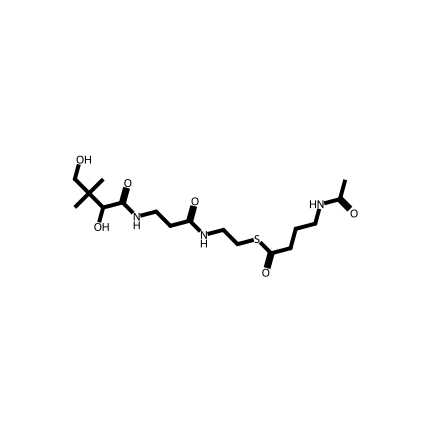 CC(=O)NCCCC(=O)SCCNC(=O)CCNC(=O)C(O)C(C)(C)CO